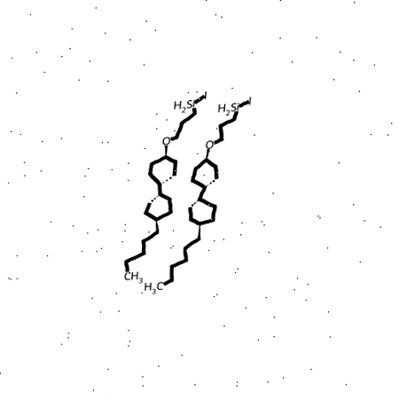 CCCCCC[C@H]1CC[C@H]([C@H]2CC[C@H](OCCC[SiH2]I)CC2)CC1.CCCCC[C@H]1CC[C@H]([C@H]2CC[C@H](OCCC[SiH2]I)CC2)CC1